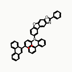 c1ccc(-c2nc3cc4c(cc3o2)oc2ccc(N(c3ccc(-c5cc6ccccc6c6ccccc56)cc3)c3ccccc3-c3ccccc3)cc24)cc1